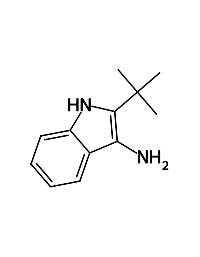 CC(C)(C)c1[nH]c2ccccc2c1N